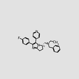 CCN(Cc1ccccc1)C[C@@H]1CCc2nc(-c3ccc(F)cc3)c(-c3ccncc3)n21